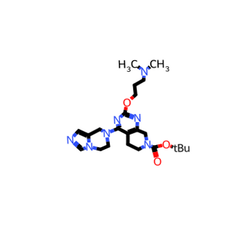 CN(C)CCCOc1nc2c(c(N3CCn4cncc4C3)n1)CCN(C(=O)OC(C)(C)C)C2